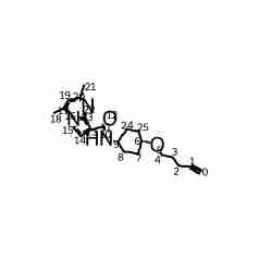 C#CCCCO[C@H]1CC[C@H](NC(=O)c2ccn3c(C)cc(C)nc23)CC1